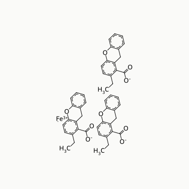 CCc1ccc2c(c1C(=O)[O-])Cc1ccccc1O2.CCc1ccc2c(c1C(=O)[O-])Cc1ccccc1O2.CCc1ccc2c(c1C(=O)[O-])Cc1ccccc1O2.[Fe+3]